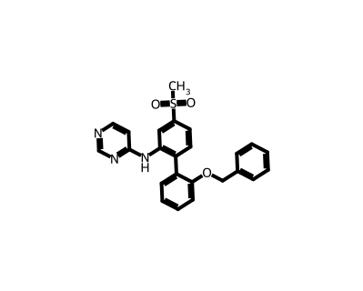 CS(=O)(=O)c1ccc(-c2ccccc2OCc2ccccc2)c(Nc2ccncn2)c1